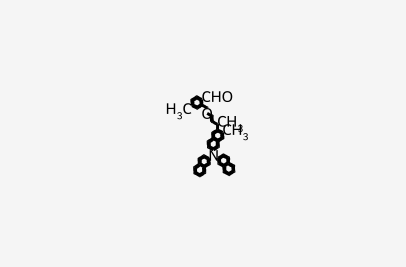 Cc1ccc(C=O)c(COC=CC(C)c2cc3ccc(N(c4ccc5ccccc5c4)c4ccc5ccccc5c4)cc3cc2C)c1